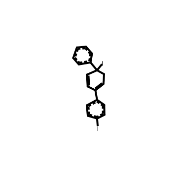 Ic1ccc(C2=CCC(I)(c3ccccc3)C=C2)cc1